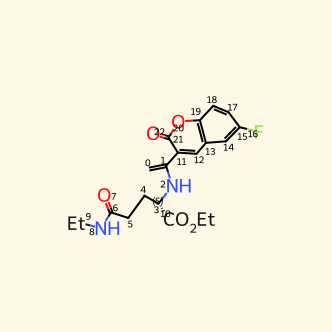 C=C(N[C@@H](CCC(=O)NCC)C(=O)OCC)c1cc2cc(F)ccc2oc1=O